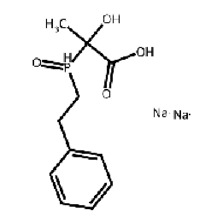 CC(O)(C(=O)O)[PH](=O)CCc1ccccc1.[Na].[Na]